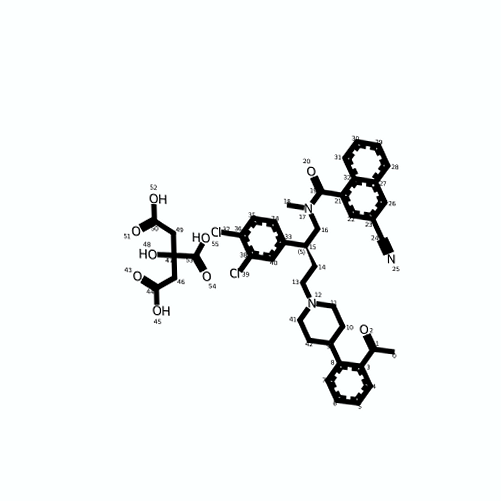 CC(=O)c1ccccc1C1CCN(CC[C@H](CN(C)C(=O)c2cc(C#N)cc3ccccc23)c2ccc(Cl)c(Cl)c2)CC1.O=C(O)CC(O)(CC(=O)O)C(=O)O